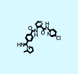 CC1CCCN1C(=N)c1ccc(C(=O)NC2=C(C(=O)Nc3ccc(Cl)cn3)SCC2)cc1